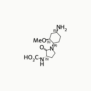 CO[C@H]1C[C@@H](N)CC[C@H]1N1CC[C@H](NC(=O)O)C1=O